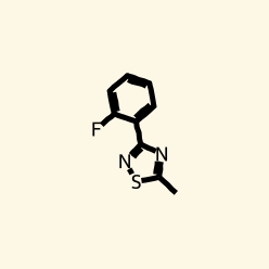 Cc1nc(-c2ccccc2F)ns1